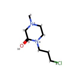 CN1CCN(CCCCl)C(=O)C1